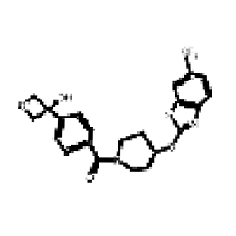 O=C(c1ccc(C2(O)COC2)cc1)N1CCC(Oc2nc3ccc(C(F)(F)F)cc3s2)CC1